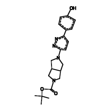 CC(C)(C)OC(=O)N1CC2CN(c3ccc(-c4ccc(O)cc4)nn3)CC2C1